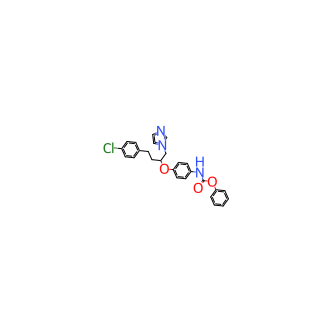 O=C(Nc1ccc(OC(CCc2ccc(Cl)cc2)Cn2ccnc2)cc1)Oc1ccccc1